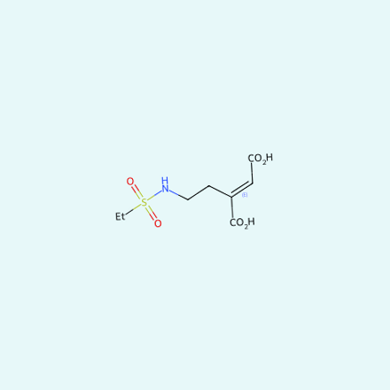 CCS(=O)(=O)NCC/C(=C\C(=O)O)C(=O)O